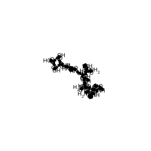 CC(=O)CNC(=O)[C@@H](NC(=O)[C@H](C)NC(=O)[C@H](Cc1c[nH]c2ccccc12)NC(=O)[C@H](CCC(N)=O)NC(=O)[C@H](CC(N)=O)NC(=O)CNC(=O)[C@H](CC(C)C)NC(=O)[C@H](CCCCNC(=O)c1ccc(NC(=O)CNC(=O)CN2CCN(CC(=O)O)CCN(CC(=O)O)CCN(CC(=O)O)CC2)cc1)NC(=O)[C@H](CCC(N)=O)NC(=O)[C@@H]1CCCN1)C(C)C